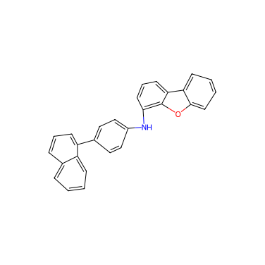 c1ccc2c(-c3ccc(Nc4cccc5c4oc4ccccc45)cc3)cccc2c1